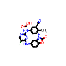 Cc1ccc(Nc2ncc(F)c(Nc3ccc4oc(=O)[nH]c4c3)n2)cc1C#N.O=CO